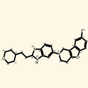 Fc1ccc2oc3c(c2c1)CN(c1ccc2c(c1)NC(CCC1CCOCC1)S2)CC3